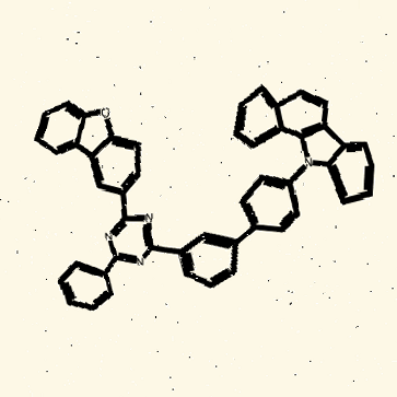 c1ccc(-c2nc(-c3cccc(-c4ccc(-n5c6ccccc6c6ccc7ccccc7c65)cc4)c3)nc(-c3ccc4oc5ccccc5c4c3)n2)cc1